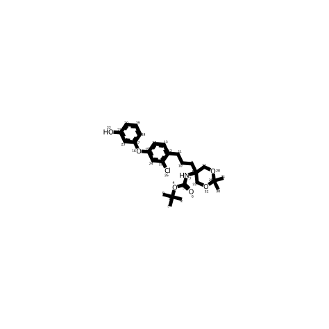 CC(C)(C)OC(=O)NC1(CCCc2ccc(Oc3cccc(O)c3)cc2Cl)COC(C)(C)OC1